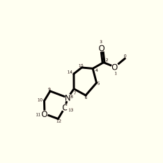 COC(=O)C1CCC(N2CCOCC2)CC1